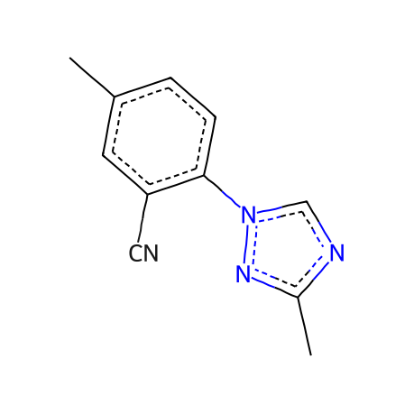 Cc1ccc(-n2cnc(C)n2)c(C#N)c1